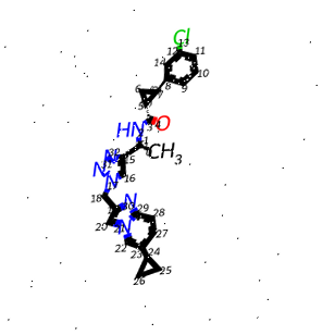 C[C@H](NC(=O)[C@@H]1C[C@H]1c1cccc(Cl)c1)c1cn(Cc2cn3cc(C4CC4)ccc3n2)nn1